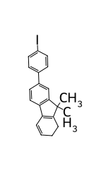 CC1(C)C2=C(C=CCC2)c2ccc(-c3ccc(I)cc3)cc21